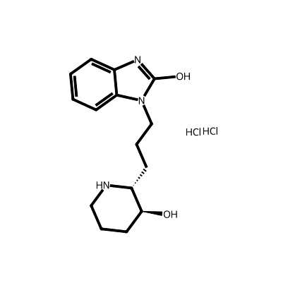 Cl.Cl.Oc1nc2ccccc2n1CCC[C@H]1NCCC[C@@H]1O